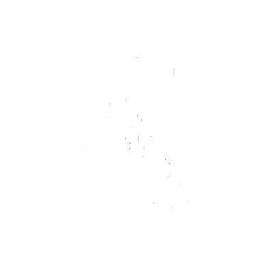 Cc1cc2c(cc1Br)Oc1cc(Br)cnc1N2CC(O)CN1CC2COCC(C2)C1